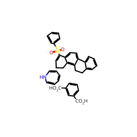 C1=CC=CNC=C1.O=C(O)c1cccc(C(=O)O)c1.O=S(=O)(C1=CCCc2c1ccc1c2CCc2ccccc2-1)c1ccccc1